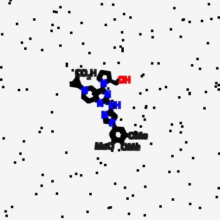 COc1cc(-n2cnc(Nc3nc4c(c(N5CCC[C@H]5CO)n3)CN(C3CC3C(=O)O)CC4)c2)cc(OC)c1OC